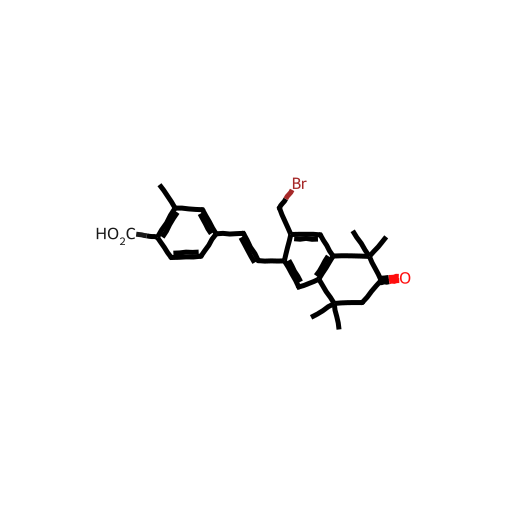 Cc1cc(C=Cc2cc3c(cc2CBr)C(C)(C)C(=O)CC3(C)C)ccc1C(=O)O